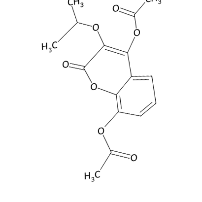 CC(=O)Oc1c(OC(C)C)c(=O)oc2c(OC(C)=O)cccc12